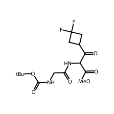 COC(=O)C(NC(=O)CNC(=O)OC(C)(C)C)C(=O)C1CC(F)(F)C1